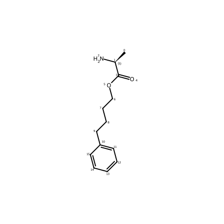 C[C@H](N)C(=O)OCCCCc1ccccc1